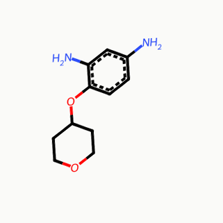 Nc1ccc(OC2CCOCC2)c(N)c1